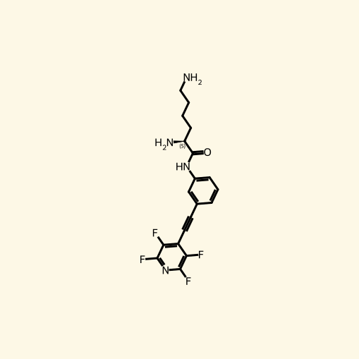 NCCCC[C@H](N)C(=O)Nc1cccc(C#Cc2c(F)c(F)nc(F)c2F)c1